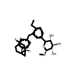 CCc1ccc(C2O[C@H](SC)[C@@H](O)[C@H](O)[C@H]2O)cc1Cc1ccc([C@@]23CCC(F)(F)C[C@@H]2C3)cc1